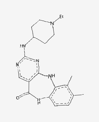 CCN1CCC(Nc2ncc3c(n2)Nc2c(ccc(C)c2C)NC3=O)CC1